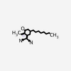 C/C=C1\C(=O)CC(CCCCCCCC)CC1=C(C#N)C#N